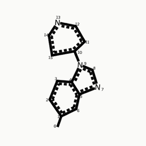 Cc1ccc2c(c1)ncn2-c1ccncc1